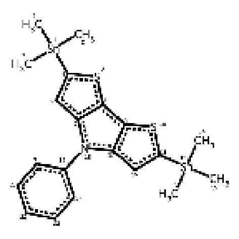 [CH3][Sn]([CH3])([CH3])[c]1cc2c(s1)c1s[c]([Sn]([CH3])([CH3])[CH3])cc1n2-c1ccccc1